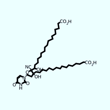 N#C[C@]1(C(O)CCCCCCCCCCCCCCCC(=O)O)O[C@@H](n2ccc(=O)[nH]c2=O)C[C@@]1(O)CCCCCCCCCCCCCCCC(=O)O